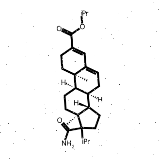 CC(C)OC(=O)C1=CC2=CC[C@@H]3[C@@H](CC[C@@]4(C)[C@H]3CCC4(C(N)=O)C(C)C)[C@@]2(C)CC1